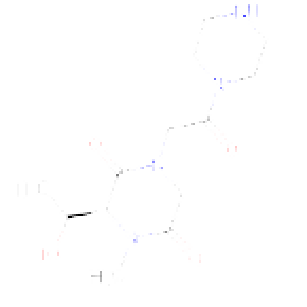 CC(O)[C@H]1C(=O)N(CC(=O)N2CCNCC2)CC(=O)N1C